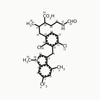 Cc1cc(C(F)(F)F)cc2c1c(Cc1c(Cl)ccc(CC(C)C(CCNC=O)C(=O)O)c1Cl)cn2C